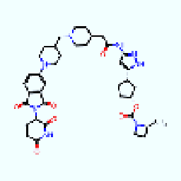 C[C@H]1CCN1C(=O)O[C@@H]1CC[C@H](c2cc(NC(=O)CC3CCN(CC4CCN(c5ccc6c(c5)C(=O)N(C5CCC(=O)NC5=O)C6=O)CC4)CC3)n[nH]2)C1